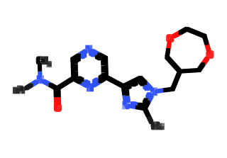 CCCN(C)C(=O)c1cncc(-c2cn(CC3COCCOC3)c(C(C)(C)C)n2)n1